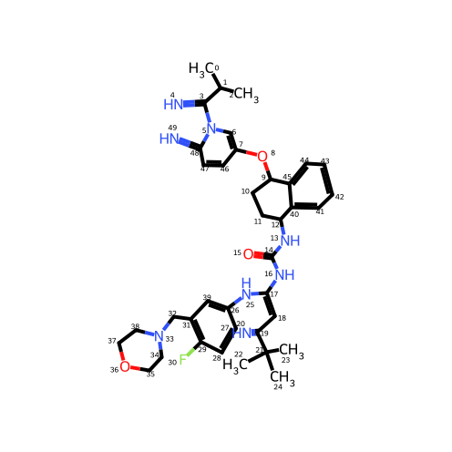 CC(C)C(=N)n1cc(OC2CCC(NC(=O)N/C(=C/C(=N)C(C)(C)C)Nc3ccc(F)c(CN4CCOCC4)c3)c3ccccc32)ccc1=N